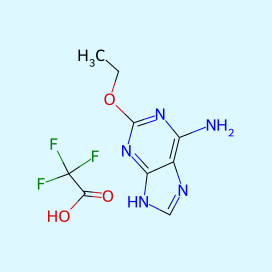 CCOc1nc(N)c2nc[nH]c2n1.O=C(O)C(F)(F)F